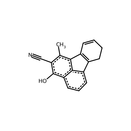 Cc1c(C#N)c(O)c2cccc3c2c1C1=C3CCC=C1